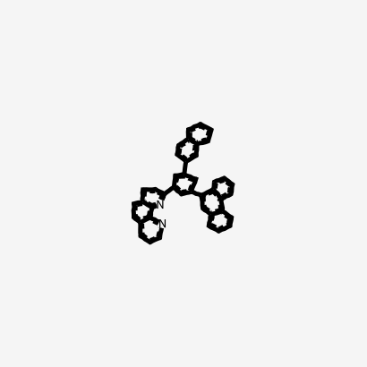 c1ccc2cc(-c3cc(-c4ccc5ccc6cccnc6c5n4)cc(-c4cc5ccccc5c5ccccc45)c3)ccc2c1